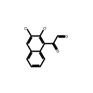 O=CC(=O)c1c(Cl)c(Cl)cc2ccccc12